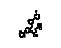 Fc1cccc(-c2cccc(CN3CCN(c4ncccn4)CC3)c2)c1.O=C(O)C=CC(=O)O